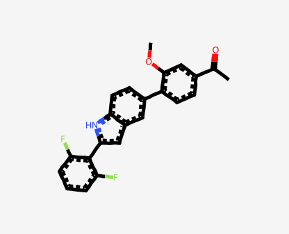 COc1cc(C(C)=O)ccc1-c1ccc2[nH]c(-c3c(F)cccc3F)cc2c1